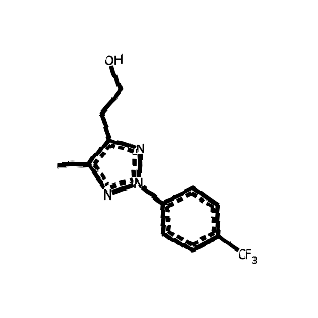 Cc1nn(-c2ccc(C(F)(F)F)cc2)nc1CCO